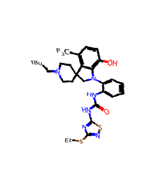 CCSc1nsc(NC(=O)Nc2ccccc2N2CC3(CCN(CC(C)(C)C)CC3)c3c(C(F)(F)F)ccc(O)c32)n1